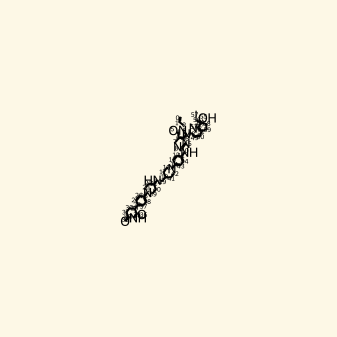 C=CCn1c(=O)c2cnc(Nc3ccc(N4CCC(CNC5CCN(c6ccc(C7CCC(=O)NC7=O)cc6)CC5)CC4)cc3)nc2n1-c1ccc2c(n1)[C@@](O)(CI)CC2